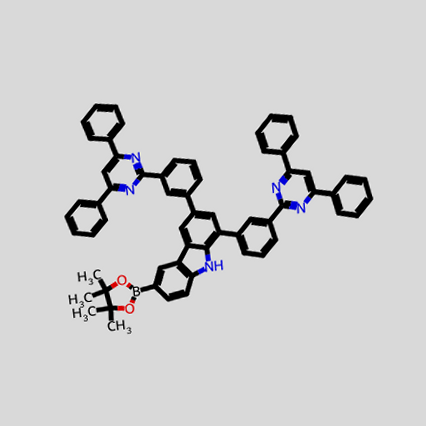 CC1(C)OB(c2ccc3[nH]c4c(-c5cccc(-c6nc(-c7ccccc7)cc(-c7ccccc7)n6)c5)cc(-c5cccc(-c6nc(-c7ccccc7)cc(-c7ccccc7)n6)c5)cc4c3c2)OC1(C)C